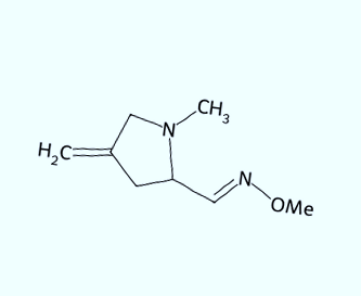 C=C1CC(/C=N/OC)N(C)C1